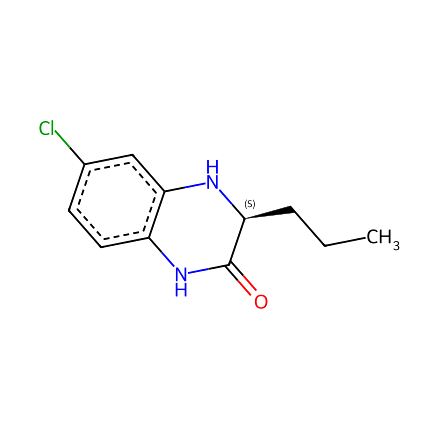 CCC[C@@H]1Nc2cc(Cl)ccc2NC1=O